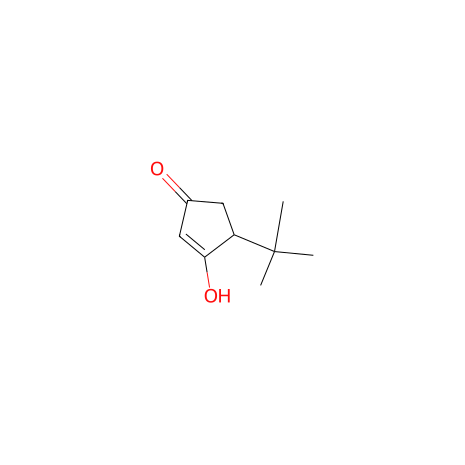 CC(C)(C)C1CC(=O)C=C1O